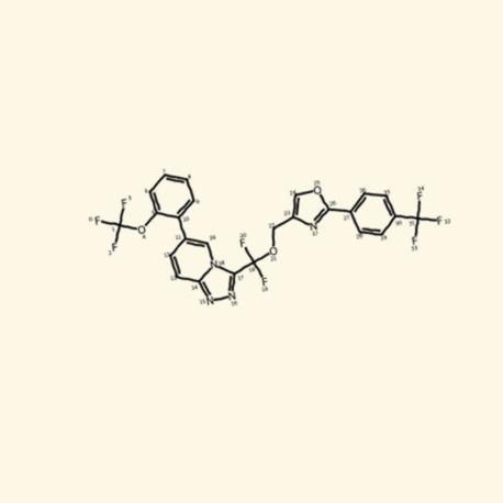 FC(F)(F)Oc1ccccc1-c1ccc2nnc(C(F)(F)OCc3coc(-c4ccc(C(F)(F)F)cc4)n3)n2c1